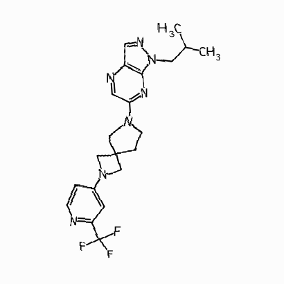 CC(C)Cn1ncc2ncc(N3CCC4(CN(c5ccnc(C(F)(F)F)c5)C4)C3)nc21